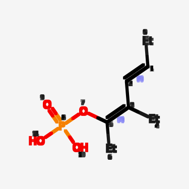 CC/C=C/C(CC)=C(/CC)OP(=O)(O)O